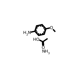 CC(=O)O.COc1ccc(N)cc1.N